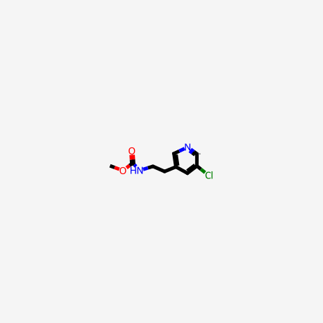 COC(=O)NCCc1cn[c]c(Cl)c1